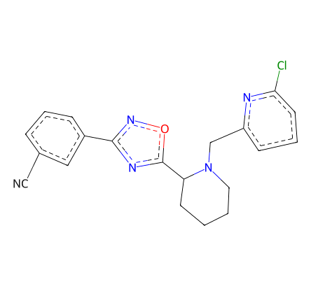 N#Cc1cccc(-c2noc(C3CCCCN3Cc3cccc(Cl)n3)n2)c1